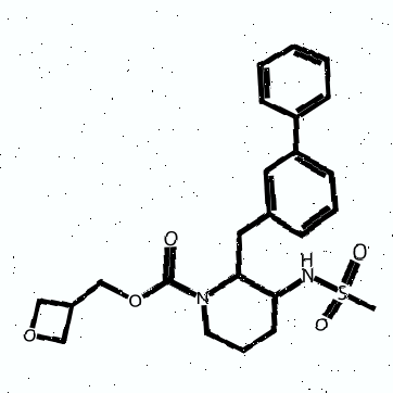 CS(=O)(=O)NC1CCCN(C(=O)OCC2COC2)C1Cc1cccc(-c2ccccc2)c1